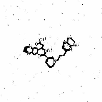 O=C(O)CC(NC(=O)[C@@H]1CCCN(CCCc2ccc3c(n2)NCCC3)C1)c1ccc2nccnc2c1